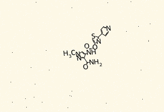 Cn1cc(NC(=O)Oc2csc(-c3ccncc3)n2)c(C(N)=O)n1